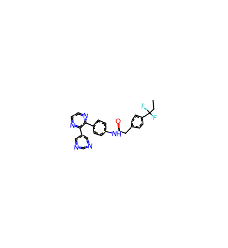 CCC(F)(F)c1ccc(CC(=O)Nc2ccc(-c3nccnc3-c3cncnc3)cc2)cc1